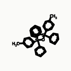 Cc1ccc([Si](O[Si](c2ccccc2)(c2ccccc2)c2ccc(C)cc2)(c2ccccc2)c2ccccc2)cc1